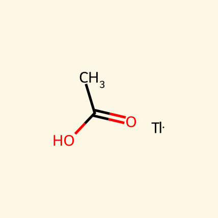 CC(=O)O.[Tl]